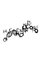 CC(C)(/C=C(/C#N)C(=O)N1CCC[C@@H](n2nc(-c3ccc(Oc4c(F)cccc4F)cc3)c3c(N)nccc32)C1)N1CCN(C2COC2)CC1